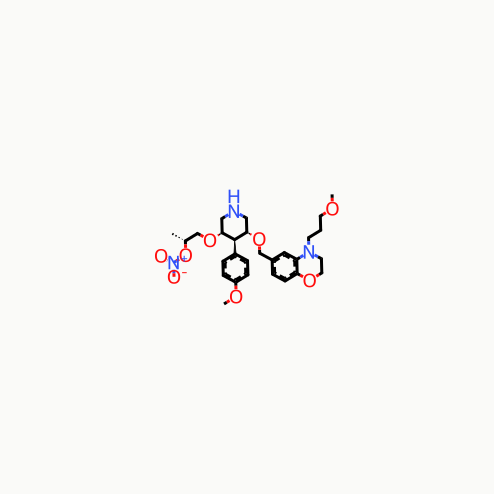 COCCCN1CCOc2ccc(CO[C@H]3CNC[C@@H](OC[C@@H](C)O[N+](=O)[O-])[C@@H]3c3ccc(OC)cc3)cc21